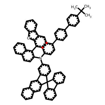 CC(C)(C)c1ccc(-c2ccc(-c3ccc(N(c4ccc5c(c4)-c4cc6ccccc6cc4C54c5ccccc5-c5ccccc54)c4ccc5ccccc5c4-c4cccc5c4oc4ccccc45)cc3)cc2)cc1